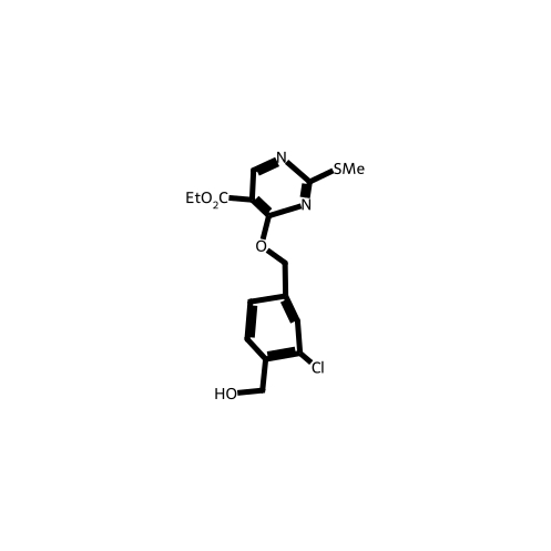 CCOC(=O)c1cnc(SC)nc1OCc1ccc(CO)c(Cl)c1